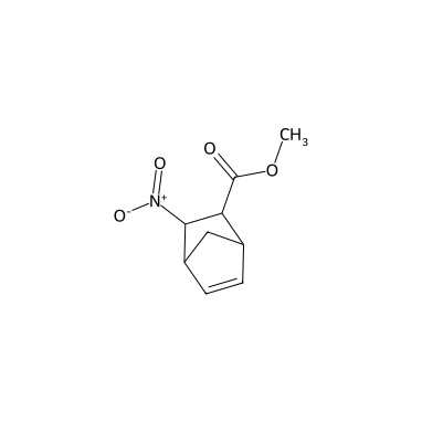 COC(=O)C1C2C=CC(C2)C1[N+](=O)[O-]